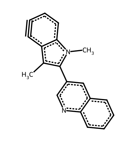 Cc1c(-c2cnc3ccccc3c2)n(C)c2ccc#cc12